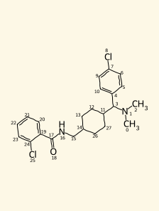 CN(C)C(c1ccc(Cl)cc1)C1CCC(CNC(=O)c2ccccc2Cl)CC1